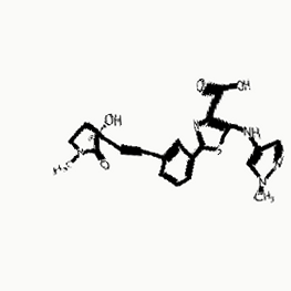 CN1CC[C@@](O)(C#Cc2cccc(-c3nc(C(=O)O)c(Nc4cnn(C)c4)s3)c2)C1=O